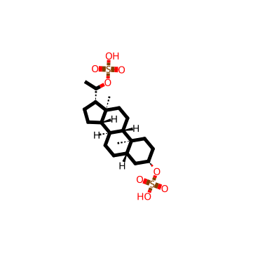 CC(OS(=O)(=O)O)[C@H]1CC[C@H]2[C@@H]3CC[C@H]4C[C@@H](OS(=O)(=O)O)CC[C@]4(C)[C@H]3CC[C@]12C